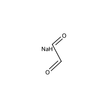 O=CC=O.[NaH]